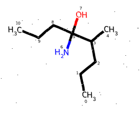 CCCC(C)C(N)(O)CCC